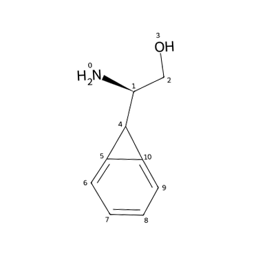 N[C@@H](CO)C1c2ccccc21